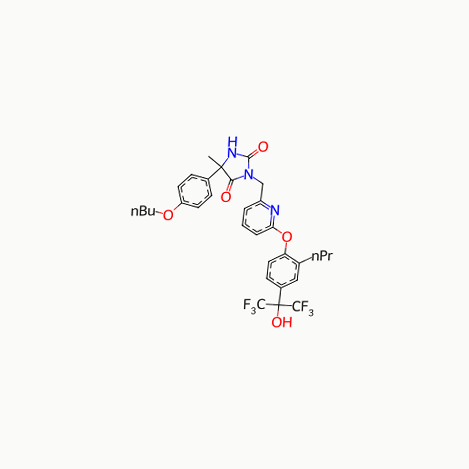 CCCCOc1ccc(C2(C)NC(=O)N(Cc3cccc(Oc4ccc(C(O)(C(F)(F)F)C(F)(F)F)cc4CCC)n3)C2=O)cc1